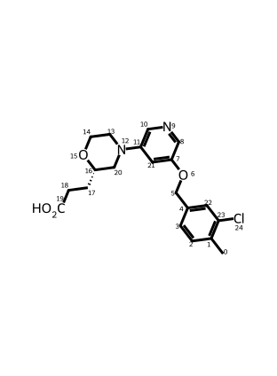 Cc1ccc(COc2cncc(N3CCO[C@@H](CCC(=O)O)C3)c2)cc1Cl